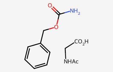 CC(=O)NCC(=O)O.NC(=O)OCc1ccccc1